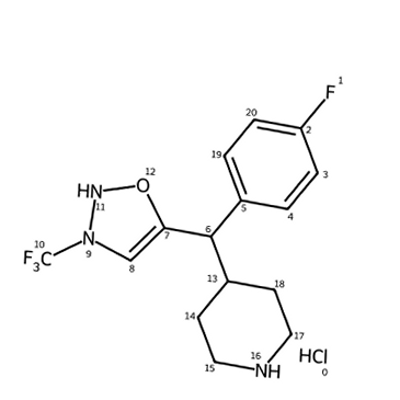 Cl.Fc1ccc(C(C2=CN(C(F)(F)F)NO2)C2CCNCC2)cc1